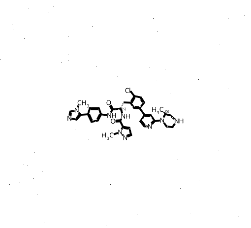 C[C@H]1CNCCN1c1cc(-c2ccc(Cl)c(C[C@H](NC(=O)c3ccnn3C)C(=O)Nc3ccc(-c4cncn4C)cc3)c2)ccn1